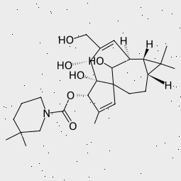 CC1=CC23CC[C@@H]4[C@H]([C@H](C=C(CO)[C@@H](O)[C@]2(O)[C@H]1OC(=O)N1CCCC(C)(C)C1)C3O)C4(C)C